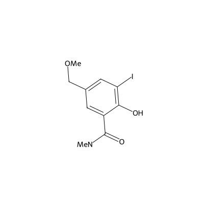 CNC(=O)c1cc(COC)cc(I)c1O